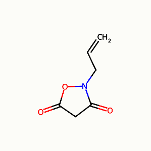 C=CCN1OC(=O)CC1=O